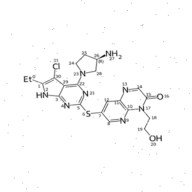 CCc1[nH]c2nc(Sc3cnc4c(c3)ncc(=O)n4CCO)nc(N3CC[C@@H](N)C3)c2c1Cl